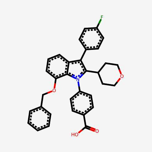 O=C(O)c1ccc(-n2c(C3CCOCC3)c(-c3ccc(F)cc3)c3cccc(OCc4ccccc4)c32)cc1